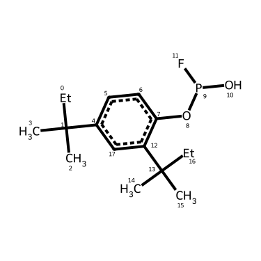 CCC(C)(C)c1ccc(OP(O)F)c(C(C)(C)CC)c1